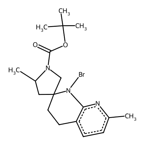 Cc1ccc2c(n1)N(Br)C1(CC2)CC(C)N(C(=O)OC(C)(C)C)C1